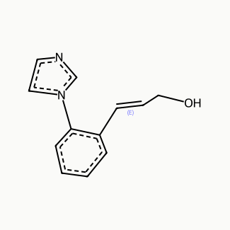 OC/C=C/c1ccccc1-n1ccnc1